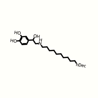 CCCCCCCCCCCCCCCCCCCCNCC(O)c1ccc(O)c(O)c1